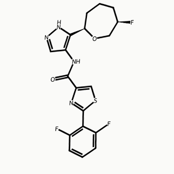 O=C(Nc1cn[nH]c1[C@H]1CCC[C@@H](F)CO1)c1csc(-c2c(F)cccc2F)n1